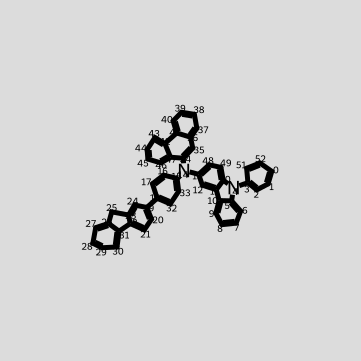 c1ccc(-n2c3ccccc3c3cc(N(c4ccc(-c5ccc6c(c5)Cc5ccccc5-6)cc4)c4cc5ccccc5c5ccccc45)ccc32)cc1